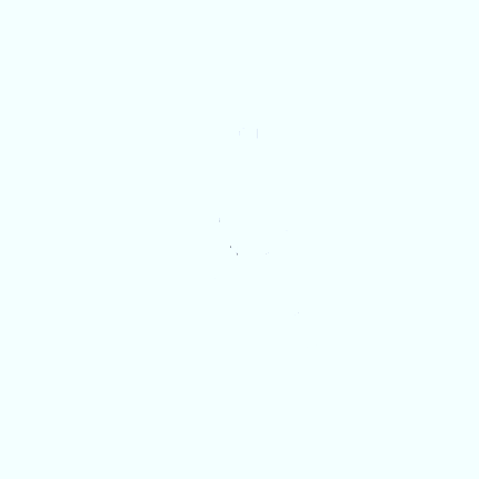 CCC1COC2(C=CC(=O)C=C2)N(c2ccccc2)C1=O